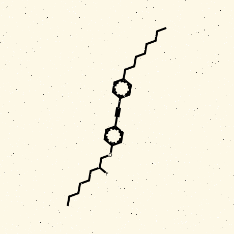 CCCCCCCCc1ccc(C#Cc2ccc(OCC(F)CCCCCC)cc2)cc1